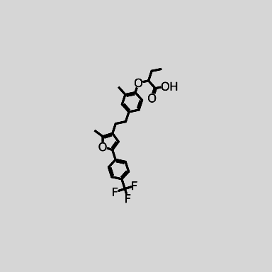 CCC(Oc1ccc(CCc2cc(-c3ccc(C(F)(F)F)cc3)oc2C)cc1C)C(=O)O